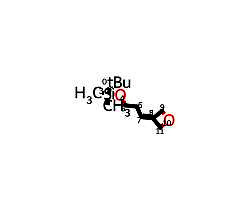 CC(C)(C)[Si](C)(C)OCCC=C1COC1